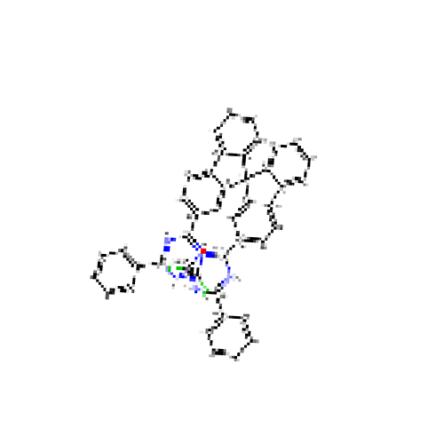 Clc1nc(-c2ccccc2)nc(-c2ccc3c(c2)C2(c4ccccc4-3)c3ccccc3-c3ccc(-c4nc(Cl)nc(-c5ccccc5)n4)cc32)n1